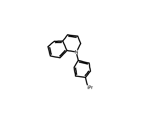 CC(C)c1ccc(N2CC=Cc3ccccc32)cc1